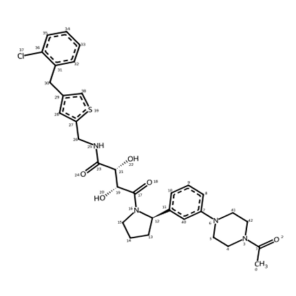 CC(=O)N1CCN(c2cccc([C@H]3CCCN3C(=O)[C@H](O)[C@@H](O)C(=O)NCc3cc(Cc4ccccc4Cl)cs3)c2)CC1